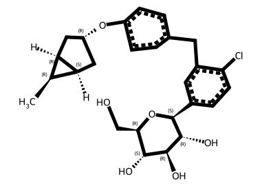 C[C@H]1[C@H]2C[C@H](Oc3ccc(Cc4cc([C@@H]5O[C@H](CO)[C@@H](O)[C@H](O)[C@H]5O)ccc4Cl)cc3)C[C@@H]12